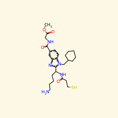 COC(=O)CNC(=O)c1ccc2c(c1)nc(C(CCCCN)NC(=O)CCS)n2CC1CCCCC1